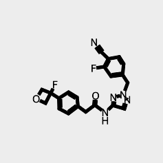 N#Cc1ccc(Cn2ncc(NC(=O)Cc3ccc(C4(F)COC4)cc3)n2)cc1F